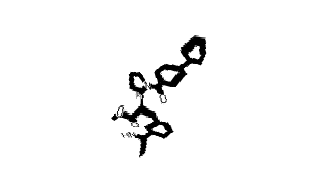 COC(=O)C(Cc1cccc(C(C)=N)c1)[C@H]1CCCN1C(=O)c1ccc(-c2ccccc2)cc1